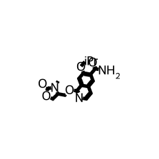 CC(C)Oc1cc2c(OCC3COC(=O)N3C)nccc2cc1C(N)=O